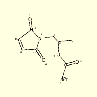 CCCC(=O)OC(C)CN1C(=O)C=CC1=O